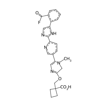 CN1CC(OCC2(C(=O)O)CCC2)=NC=C1c1ccc(-c2ncc(-c3ccccc3C(=O)F)[nH]2)nc1